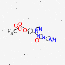 O=C(COc1ccc(C(CN2CCN(C3CCNCC3)CC2=O)n2ccnc2)cc1)OC(=O)C(F)(F)F